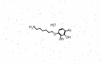 CCCc1c(OCCCCCCN)ccc(C(C)=O)c1O.Cl